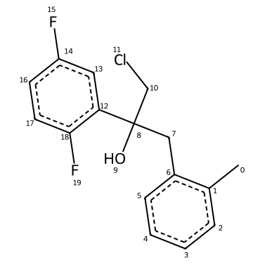 Cc1ccccc1CC(O)(CCl)c1cc(F)ccc1F